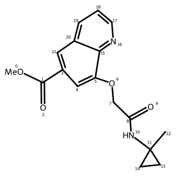 COC(=O)c1cc(OCC(=O)NC2(C)CC2)c2ncccc2c1